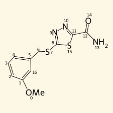 COc1cccc(CSc2nnc(C(N)=O)s2)c1